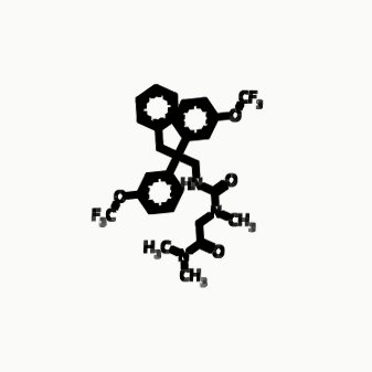 CN(C)C(=O)CN(C)C(=O)NCC(Cc1ccccc1)(c1cccc(OC(F)(F)F)c1)c1cccc(OC(F)(F)F)c1